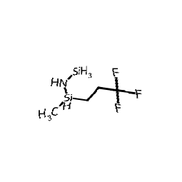 C[SiH](CCC(F)(F)F)N[SiH3]